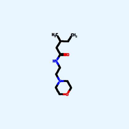 CCC(C)CC(=O)NCCN1CCOCC1